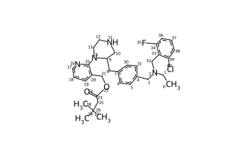 CCN(Cc1ccc(CC2CNCCN2c2ncccc2COC(=O)CC(C)(C)C)cc1)Cc1c(F)cccc1Cl